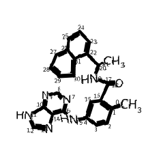 Cc1ccc(Nc2ncnc3[nH]cnc23)cc1C(=O)N[C@H](C)c1cccc2ccccc12